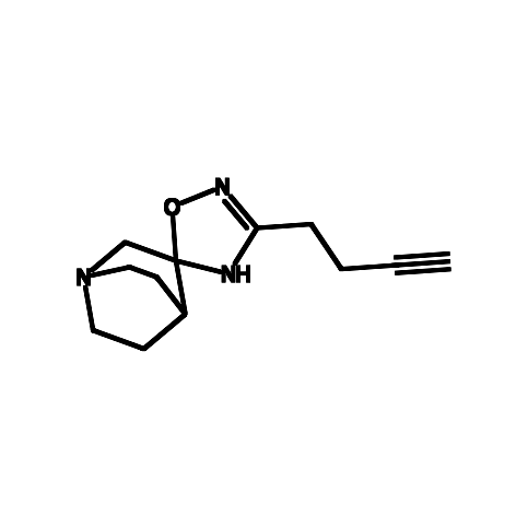 C#CCCC1=NOC2(CN3CCC2CC3)N1